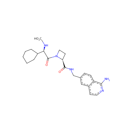 Nc1nccc2cc(CNC(=O)[C@@H]3CCN3C(=O)[C@H](NC(=O)O)C3CCCCC3)ccc12